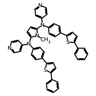 Cn1c(N(c2ccncc2)c2ccc(-c3ccc(-c4ccccc4)s3)cc2)ccc1N(c1ccncc1)c1ccc(-c2ccc(-c3ccccc3)s2)cc1